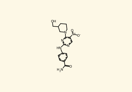 NC(=O)c1ccc(Nc2ncc([N+](=O)[O-])c(N3CCCC(CO)C3)n2)cc1